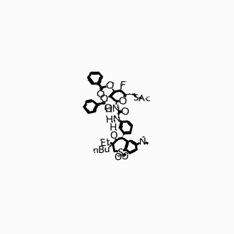 CCCC[C@]1(CC)CS(=O)(=O)c2ccc(N(C)C)cc2[C@@H](c2cccc(NC(=O)N[C@@H]3O[C@H](CSC(C)=O)[C@@H](F)[C@H](OC(=O)c4ccccc4)[C@H]3OC(=O)c3ccccc3)c2)[C@H]1O